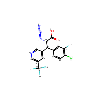 [N-]=[N+]=N[C@H](C(=O)O)[C@H](c1cncc(C(F)(F)F)c1)c1ccc(Cl)c(F)c1